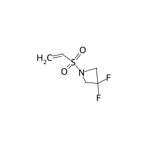 C=CS(=O)(=O)N1CC(F)(F)C1